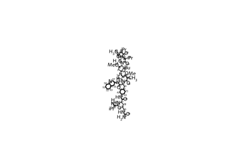 CC[C@H](C)C([C@@H](CC(=O)N1CCC[C@H]1[C@H](OC)[C@@H](C)C(=O)NC(Cc1ccc(NC(=O)C(CCCNC(N)=O)NC(=O)[C@H](N)C(C)C)cc1)C(=O)Nc1cnc2ccccc2c1)OC)N(C)C(=O)C(NC(=O)[C@H](C(C)C)N(C)C)C(C)C